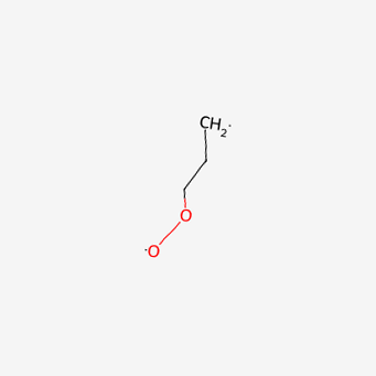 [CH2]CCO[O]